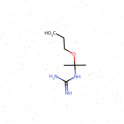 CC(C)(NC(=N)N)OCCC(=O)O